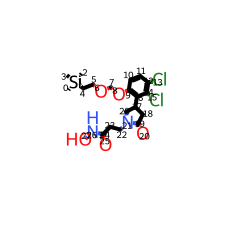 C[Si](C)(C)CCOCOc1ccc(Cl)c(Cl)c1C1CC(=O)N(CCC(=O)NO)C1